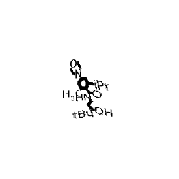 Cc1cc(N2CCOCC2)cc(C(C)C)c1C(=O)NCC[C@@H](O)C(C)(C)C